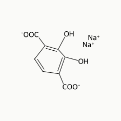 O=C([O-])c1ccc(C(=O)[O-])c(O)c1O.[Na+].[Na+]